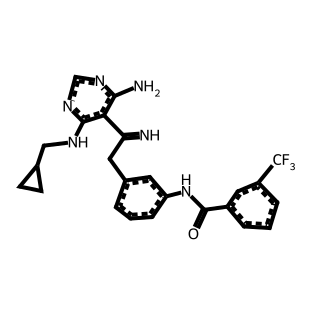 N=C(Cc1cccc(NC(=O)c2cccc(C(F)(F)F)c2)c1)c1c(N)ncnc1NCC1CC1